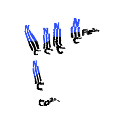 [C-]#N.[C-]#N.[C-]#N.[C-]#N.[C-]#N.[Co+2].[Fe+3]